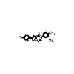 COc1cc(-n2cnn3nc(-c4ccc(Cl)cc4)cc3c2=O)ccc1C